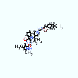 Cc1cc(C)c(CNC(=O)c2c(C)n([C@H](C)C3CCN(CCNC(=O)CC4CC5CC(C)CC(C4)C5)CC3)c3ccccc23)c(=O)[nH]1